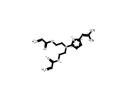 C=CC(=O)OCCN(CCOC(=O)C=C)c1ccc(C=C(C#N)C#N)o1